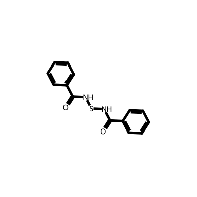 O=C(NSNC(=O)c1ccccc1)c1ccccc1